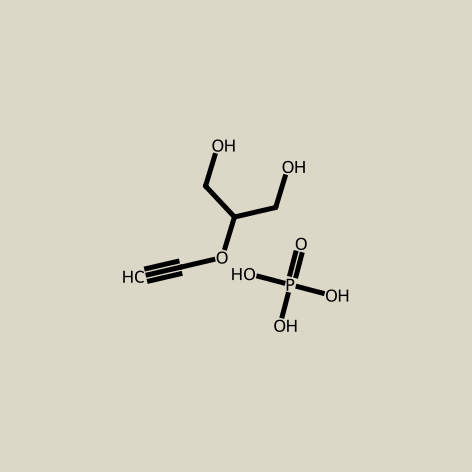 C#COC(CO)CO.O=P(O)(O)O